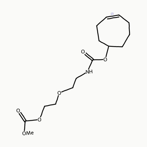 COC(=O)OCCOCCNC(=O)OC1CC/C=C\CCC1